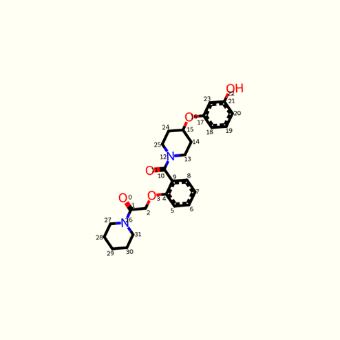 O=C(COc1ccccc1C(=O)N1CCC(Oc2cccc(O)c2)CC1)N1CCCCC1